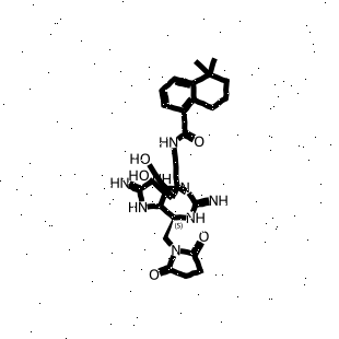 CC1(C)CCCc2c(C(=O)NC3CN4C(=N)N[C@@H](CN5C(=O)CCC5=O)C5NC(=N)NC54C3(O)O)cccc21